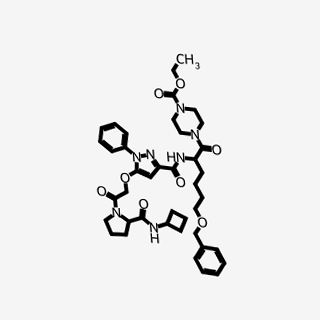 CCOC(=O)N1CCN(C(=O)C(CCCCOCc2ccccc2)NC(=O)c2cc(OCC(=O)N3CCCC3C(=O)NC3CCC3)n(-c3ccccc3)n2)CC1